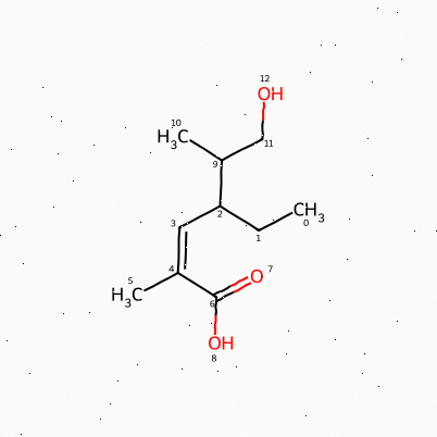 CCC(C=C(C)C(=O)O)C(C)CO